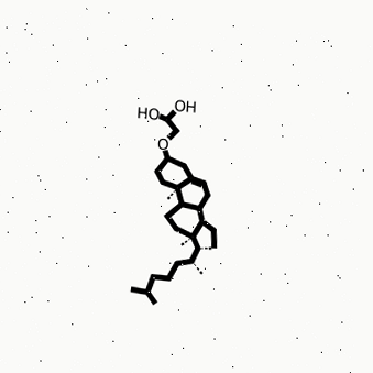 CC(C)CCC[C@@H](C)[C@H]1CCC2C3CC=C4CC(OCC(O)O)CC[C@]4(C)C3CC[C@@]21C